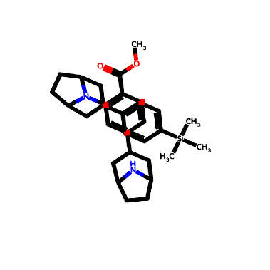 COC(=O)c1ccc(C2CC3CCC(C2)N3)cc1N1C2CCC1CC(c1ccc([Si](C)(C)C)cc1)C2